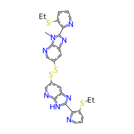 CCSc1cccnc1-c1nc2cc(SSc3cnc4c(c3)nc(-c3ncccc3SCC)n4C)cnc2[nH]1